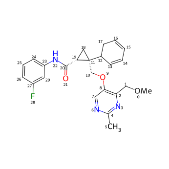 COCc1nc(C)ncc1OC[C@@]1(C2C=CC=CC2)C[C@H]1C(=O)Nc1cccc(F)c1